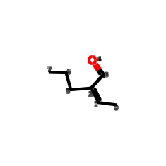 CC=C([C]=O)CCC